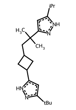 CC(C)c1cc(C(C)(C)CC2CC(c3cc(C(C)(C)C)n[nH]3)C2)n[nH]1